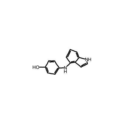 Oc1ccc(Nc2cccc3[nH]ccc23)cc1